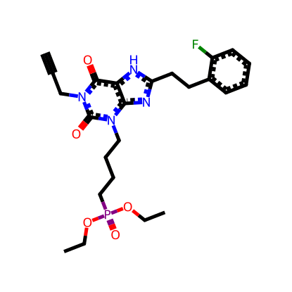 C#CCn1c(=O)c2[nH]c(CCc3ccccc3F)nc2n(CCCCP(=O)(OCC)OCC)c1=O